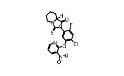 O=C1[C@H]2CCCCN2C(=S)N1c1cc(Oc2ncccc2[N+](=O)[O-])c(Cl)cc1F